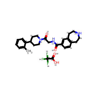 Cc1ccccc1C1CCN(C(=O)CNC(=O)c2ccc3c(c2)CCNCC3)CC1.O=C(O)C(F)(F)F